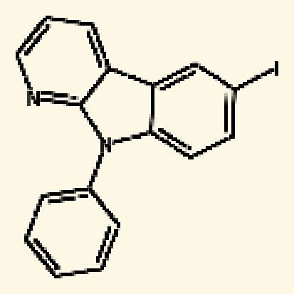 Ic1ccc2c(c1)c1cccnc1n2-c1ccccc1